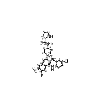 [C-]#[N+]c1cc(Cl)ccc1Nc1nc(N2CCC(N(C)C(=O)C3CCCN3)CC2)nc2cc(OC)c(F)cc12